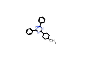 CC1CCC(c2nc(-c3ccccc3)nc(-c3ccccc3)n2)CC1